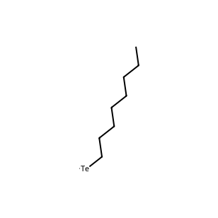 CCCCCCCC[Te]